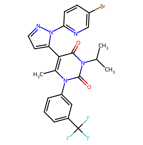 Cc1c(-c2ccnn2-c2ccc(Br)cn2)c(=O)n(C(C)C)c(=O)n1-c1cccc(C(F)(F)F)c1